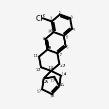 Clc1cccc2cc3c(cc12)CCC1(CC2=CCC1C2)C3